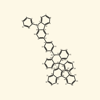 c1ccc(-n2c3ccccc3c3cc(-c4ccc(N5c6ccccc6C(c6ccccc6)(c6cc7ccccc7c7c6oc6ccccc67)c6ccccc65)cc4)ccc32)cc1